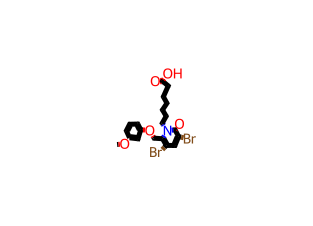 COc1cccc(OCc2c(Br)cc(Br)c(=O)n2CCCCCCC(=O)O)c1